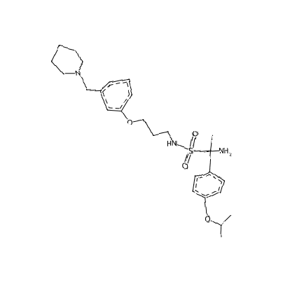 CC(C)Oc1ccc(C(C)(N)S(=O)(=O)NCCCOc2cccc(CN3CCCCC3)c2)cc1